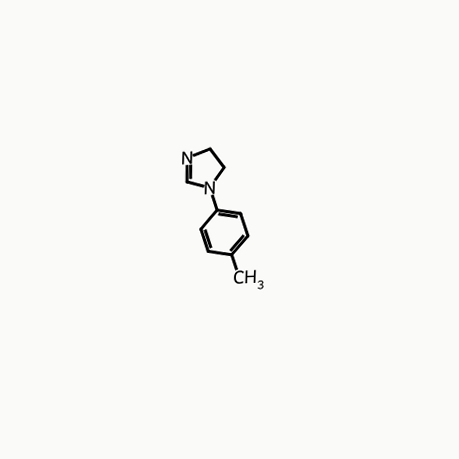 Cc1ccc(N2C=NCC2)cc1